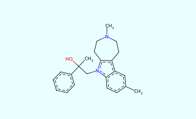 Cc1ccc2c(c1)c1c(n2CC(C)(O)c2ccccc2)CCN(C)CC1